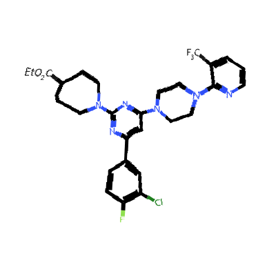 CCOC(=O)C1CCN(c2nc(-c3ccc(F)c(Cl)c3)cc(N3CCN(c4ncccc4C(F)(F)F)CC3)n2)CC1